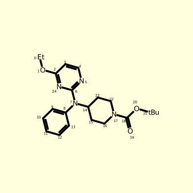 CCOc1ccnc(N(c2ccccc2)C2CCN(C(=O)OC(C)(C)C)CC2)n1